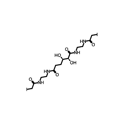 O=C(CI)NCCNC(=O)CC[C@@H](O)[C@H](O)C(=O)NCCNC(=O)CI